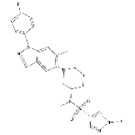 CCCn1cc(S(=O)(=O)N(C)[C@H]2CCCN(c3cc4cnn(-c5ccc(F)cc5)c4cc3C)C2)cn1